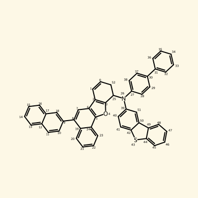 C1=Cc2c(oc3c2cc(-c2ccc4ccccc4c2)c2ccccc23)C(N(c2ccc(-c3ccccc3)cc2)c2ccc3sc4ccccc4c3c2)C1